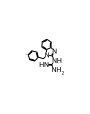 N=C(N)Nc1nc2ccccc2n1Cc1cc[c]cc1